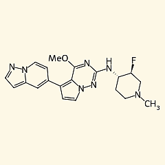 COc1nc(N[C@H]2CCN(C)C[C@@H]2F)nn2ccc(-c3ccn4nccc4c3)c12